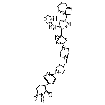 O=C1CC[C@@H](c2ccc(N3CCC(CN4CCN(c5nnc(-c6cnc(-c7ccc8cccnn78)cc6NC6COCN6)s5)CC4)CC3)nc2)C(=O)N1